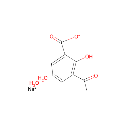 CC(=O)c1cccc(C(=O)[O-])c1O.O.O.[Na+]